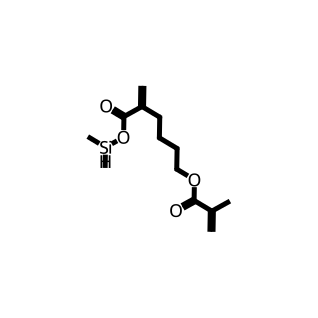 C=C(C)C(=O)OCCCCC(=C)C(=O)O[SiH](C)C